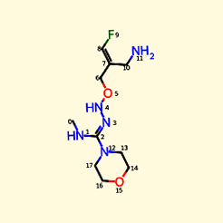 CN/C(=N\NOC/C(=C/F)CN)N1CCOCC1